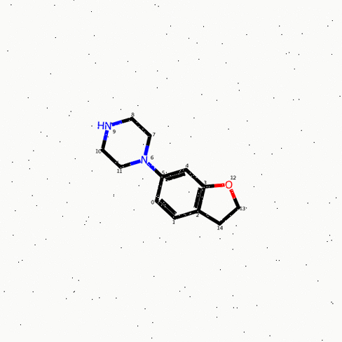 c1cc2c(cc1N1CCNCC1)OCC2